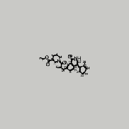 CCOC(=O)[C@H]1CCCN(C(=O)C(C)Cc2ccc3c(-c4ccccc4C)c[nH]c(=O)c3c2)C1